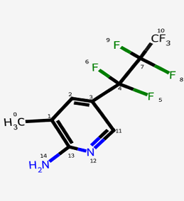 Cc1cc(C(F)(F)C(F)(F)C(F)(F)F)cnc1N